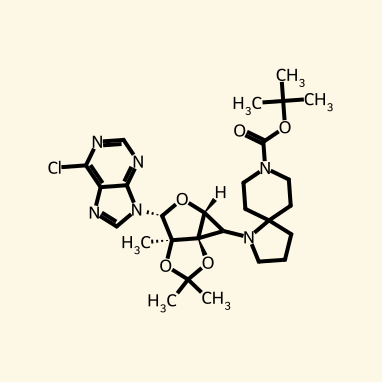 CC(C)(C)OC(=O)N1CCC2(CCCN2C2[C@H]3O[C@@H](n4cnc5c(Cl)ncnc54)[C@]4(C)OC(C)(C)O[C@]234)CC1